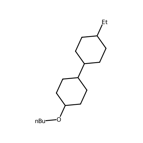 CCCCOC1CCC(C2CCC(CC)CC2)CC1